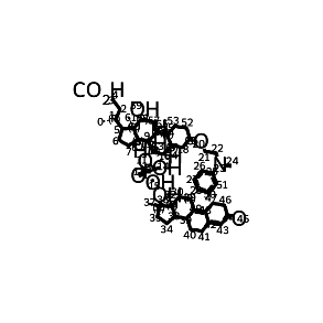 C[C@H](CCC(=O)O)C1CC[C@H]2[C@@H]3[C@H](OP(=O)(O)O)C[C@@H]4C[C@@H](OCCN(C)c5ccc([C@H]6C[C@@]7(C)C(CC[C@]7(C)O)C7CCC8=CC(=O)CCC8=C76)cc5)CC[C@]4(C)[C@H]3C[C@H](O)[C@]12C